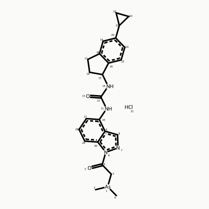 C[As](C)CC(=O)n1ncc2c(NC(=O)NC3CCc4cc(C5CC5)ccc43)cccc21.Cl